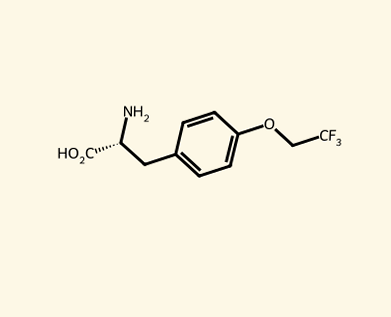 N[C@H](Cc1ccc(OCC(F)(F)F)cc1)C(=O)O